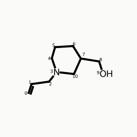 C=CCN1CCCC(CO)C1